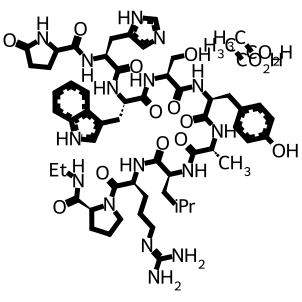 CC(=O)O.CC(=O)O.CCNC(=O)[C@@H]1CCCN1C(=O)[C@H](CCCN=C(N)N)NC(=O)[C@H](CC(C)C)NC(=O)[C@@H](C)NC(=O)[C@H](Cc1ccc(O)cc1)NC(=O)[C@H](CO)NC(=O)[C@H](Cc1c[nH]c2ccccc12)NC(=O)[C@H](Cc1cnc[nH]1)NC(=O)C1CCC(=O)N1